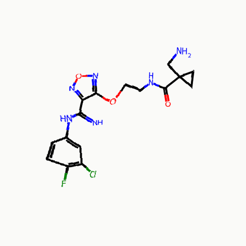 N=C(Nc1ccc(F)c(Cl)c1)c1nonc1OCCNC(=O)C1(CN)CC1